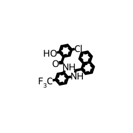 O=C(Nc1cc(C(F)(F)F)ccc1NCc1cccc2ccccc12)c1cc(Cl)ccc1O